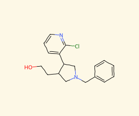 OCCC1CN(Cc2ccccc2)CC1c1cccnc1Cl